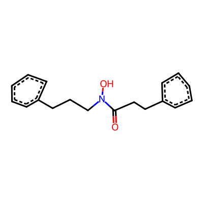 O=C(CCc1ccccc1)N(O)CCCc1ccccc1